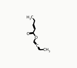 CC=C=COC(=O)C=CCC